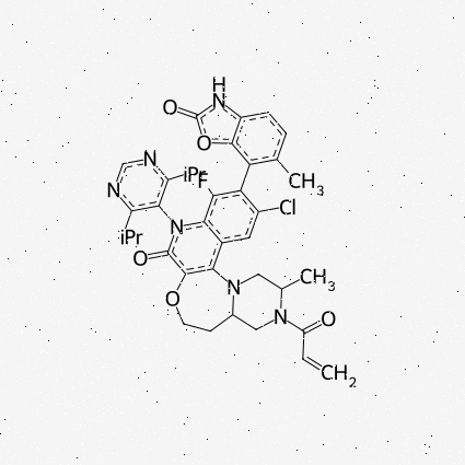 C=CC(=O)N1CC2CCOc3c(c4cc(Cl)c(-c5c(C)ccc6[nH]c(=O)oc56)c(F)c4n(-c4c(C(C)C)ncnc4C(C)C)c3=O)N2CC1C